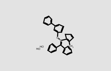 CC1=[C]([Ti]([O]c2cccc(-c3ccccc3)c2)=[C](c2ccccc2)c2ccccc2)CC=C1.Cl.Cl